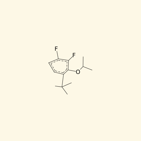 CC(C)Oc1c(C(C)(C)C)ccc(F)c1F